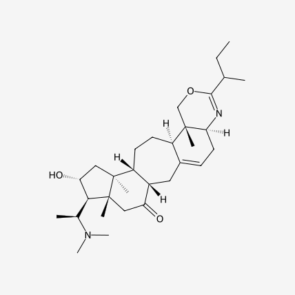 CCC(C)C1=N[C@H]2CC=C3C[C@@H]4C(=O)C[C@]5(C)[C@@H]([C@H](C)N(C)C)[C@H](O)C[C@@]5(C)[C@@H]4CC[C@H]3[C@]2(C)CO1